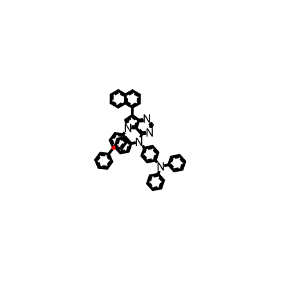 c1ccc(-c2ccc(-n3cc(-c4cccc5ccccc45)c4ncnc(N(c5ccccc5)c5ccc(N(c6ccccc6)c6ccccc6)cc5)c43)cc2)cc1